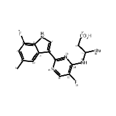 Cc1cc(F)c2[nH]cc(-c3ncc(F)c(NC(CC(=O)O)C(C)(C)C)n3)c2c1